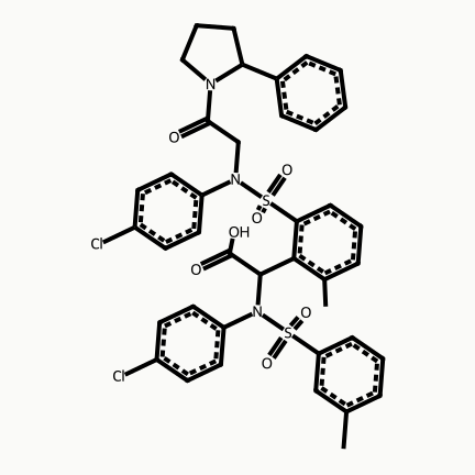 Cc1cccc(S(=O)(=O)N(c2ccc(Cl)cc2)C(C(=O)O)c2c(C)cccc2S(=O)(=O)N(CC(=O)N2CCCC2c2ccccc2)c2ccc(Cl)cc2)c1